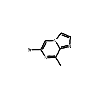 Cc1nc(Br)cn2ccnc12